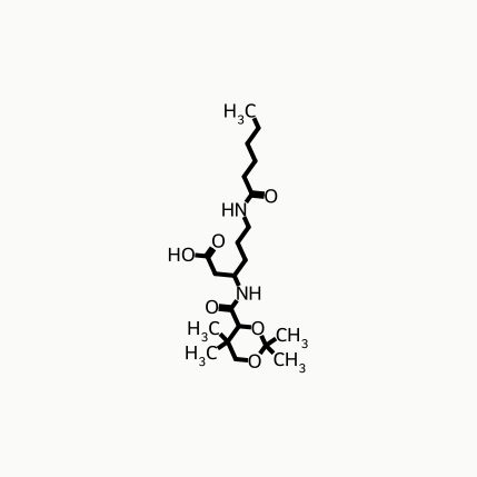 CCCCCC(=O)NCCCC(CC(=O)O)NC(=O)C1OC(C)(C)OCC1(C)C